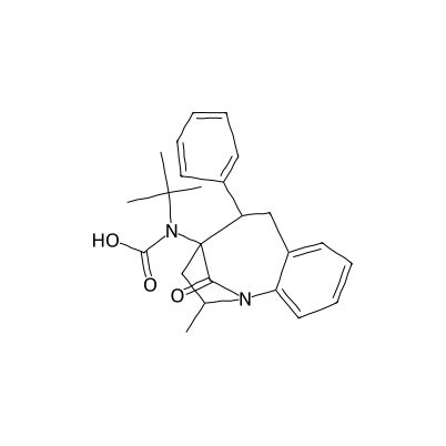 CC1CC2(N(C(=O)O)C(C)(C)C)C(=O)N1c1ccccc1CC2c1ccccc1